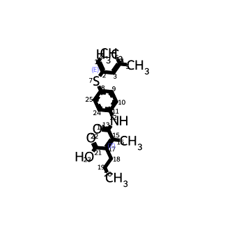 C/C=C(\C=C(C)C)Sc1ccc(NC(=O)/C(C)=C(/CCC)C(=O)O)cc1